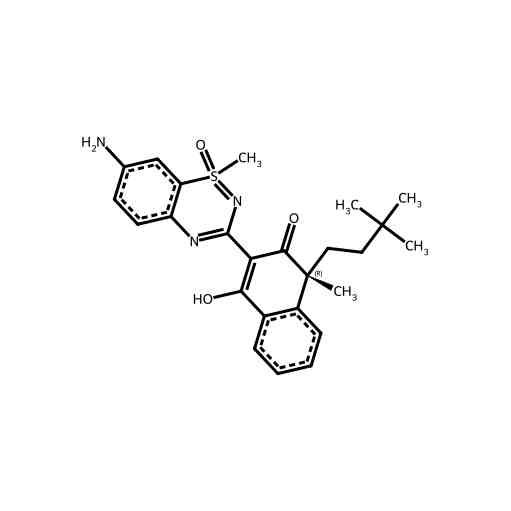 CC(C)(C)CC[C@@]1(C)C(=O)C(C2=Nc3ccc(N)cc3S(C)(=O)=N2)=C(O)c2ccccc21